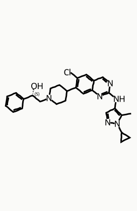 Cc1c(Nc2ncc3cc(Cl)c(C4CCN(C[C@@H](O)c5ccccc5)CC4)cc3n2)cnn1C1CC1